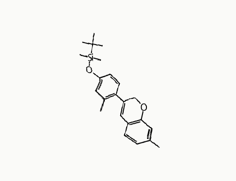 Cc1ccc2c(c1)OCC(c1ccc(O[Si](C)(C)C(C)(C)C)cc1C)=C2